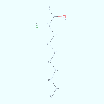 [CH2]C(O)C(Cl)CCCCCCCC